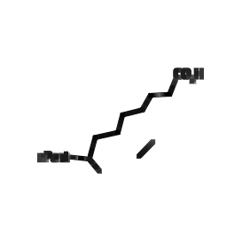 CC.CCCCCC(C)CCCCCCC(=O)O